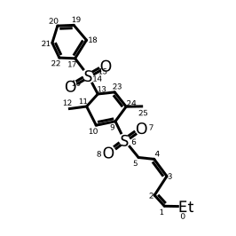 CC/C=C\C=C/CS(=O)(=O)C1=CC(C)C(S(=O)(=O)c2ccccc2)C=C1C